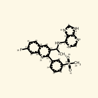 CC(Nc1ncnc2[nH]cnc12)c1cc2ccc(F)cc2nc1-c1cccc(S(C)(=O)=O)c1